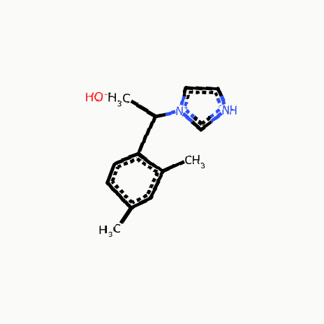 Cc1ccc(C(C)[n+]2cc[nH]c2)c(C)c1.[OH-]